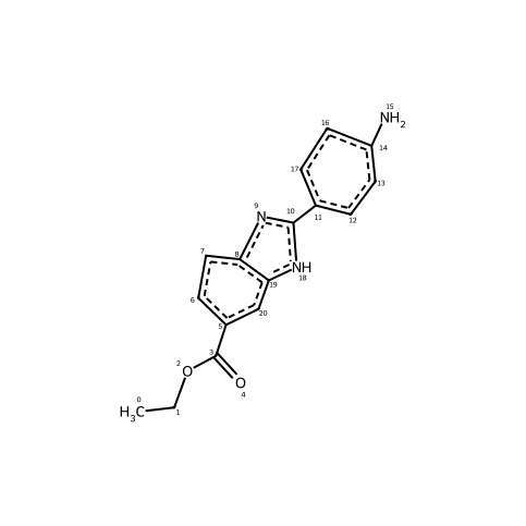 CCOC(=O)c1ccc2nc(-c3ccc(N)cc3)[nH]c2c1